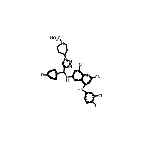 N#Cc1cc(Nc2ccc(F)c(Cl)c2)c2cc(NC(c3ccc(F)cc3)c3cn(C4CCN(C(=O)O)CC4)nn3)cc(Cl)c2n1